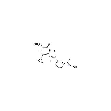 CCOC(=O)c1cc(C2CC2)c2c(C)c(-c3cccc(/C(C)=N/O)c3)ccn2c1=O